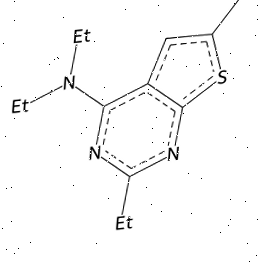 CCc1nc(N(CC)CC)c2cc(C)sc2n1